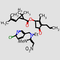 C=CCC1=C(C)C(OC(=O)C2C(C=C(C)C)C2(C)C)CC1=O.CCN(Cc1ccc(Cl)nc1)/C(=C/[N+](=O)[O-])NC